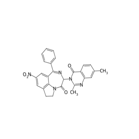 Cc1ccc2c(=O)n(C3N=C(c4ccccc4)c4cc([N+](=O)[O-])cc5c4N(CC5)C3=O)c(C)nc2c1